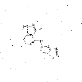 Cc1n[nH]c2ccnc(Nc3ccc4scnc4c3)c12